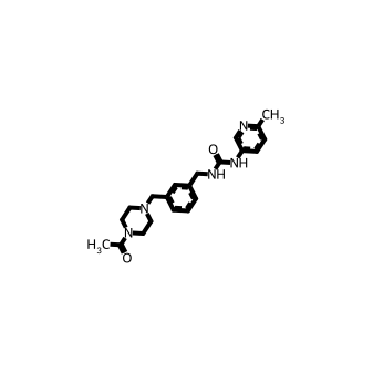 CC(=O)N1CCN(Cc2cccc(CNC(=O)Nc3ccc(C)nc3)c2)CC1